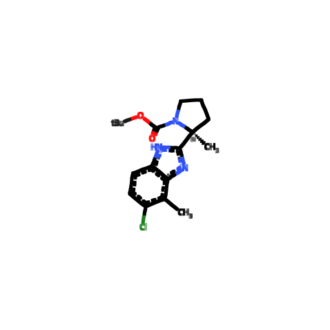 Cc1c(Cl)ccc2[nH]c([C@]3(C)CCCN3C(=O)OC(C)(C)C)nc12